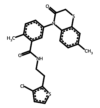 Cc1ccc2c(c1)SCC(=O)N2c1ccc(C)c(C(=O)NCCc2sccc2Cl)c1